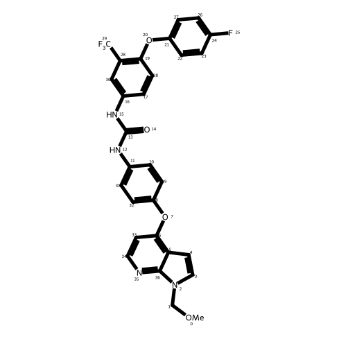 COCn1ccc2c(Oc3ccc(NC(=O)Nc4ccc(Oc5ccc(F)cc5)c(C(F)(F)F)c4)cc3)ccnc21